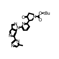 Cc1cncc(-c2cc3c(cn2)cnn3-c2cccc(C3CN(C(=O)OC(C)(C)C)CCC3=O)n2)n1